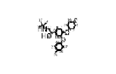 Cc1ccc(Oc2ccc(C(O)CNC(C)(C)C)cc2Oc2ccc(C)cc2)cc1